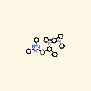 C1=CC(c2nc(-c3ccccc3)nc(-c3ccccc3)n2)CC(c2cc(-n3c4ccccc4c4cc5c6ccccc6n(-c6ccccc6)c5cc43)cc3c2sc2ccccc23)=C1